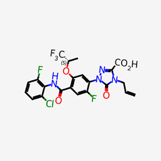 C=CCn1c(C(=O)O)nn(-c2cc(O[C@@H](C)C(F)(F)F)c(C(=O)Nc3c(F)cccc3Cl)cc2F)c1=O